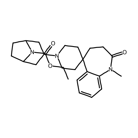 CCOC(=O)N1C2CCC1CC(N1CCC3(CCC(=O)N(C)c4ccccc43)CC1)C2